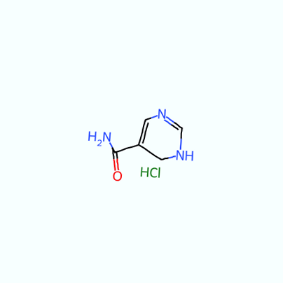 Cl.NC(=O)C1=CN=CNC1